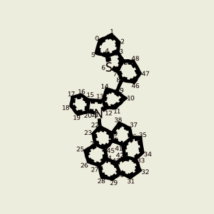 c1ccc2c(c1)sc1c(-c3ccc4c(c3)c3ccccc3n4-c3cc4ccc5ccc6ccc7ccc8ccc3c3c8c7c6c5c43)cccc12